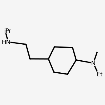 CCN(C)C1CCC(CCNC(C)C)CC1